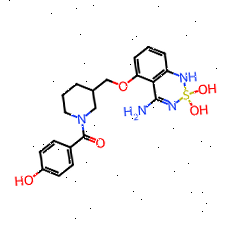 NC1=NS(O)(O)Nc2cccc(OCC3CCCN(C(=O)c4ccc(O)cc4)C3)c21